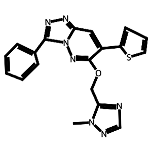 Cn1ncnc1COc1nn2c(-c3ccccc3)nnc2cc1-c1cccs1